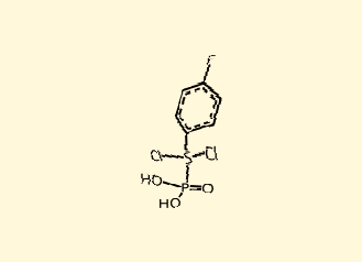 O=P(O)(O)S(Cl)(Cl)c1ccc(F)cc1